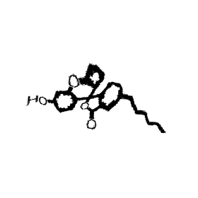 CCCCCCc1ccc2c(c1)C(=O)OC21c2ccccc2Oc2cc(O)ccc21